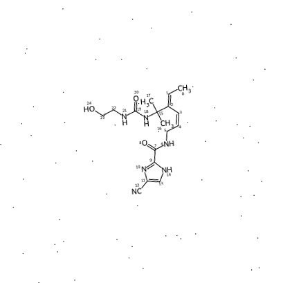 C/C=C(\C=C/CNC(=O)c1nc(C#N)c[nH]1)C(C)(C)NC(=O)NCCO